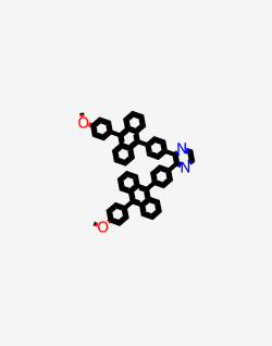 COc1ccc(-c2c3ccccc3c(-c3ccc(-c4nccnc4-c4ccc(-c5c6ccccc6c(-c6ccc(OC)cc6)c6ccccc56)cc4)cc3)c3ccccc23)cc1